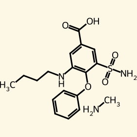 CCCCNc1cc(C(=O)O)cc(S(N)(=O)=O)c1Oc1ccccc1.CN